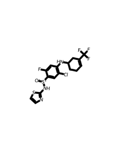 [O-][S+](Nc1nccs1)c1cc(Cl)c(NC2CCC=C(C(F)(F)F)C2)cc1F